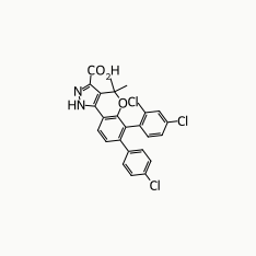 CC1(C)Oc2c(ccc(-c3ccc(Cl)cc3)c2-c2ccc(Cl)cc2Cl)-c2[nH]nc(C(=O)O)c21